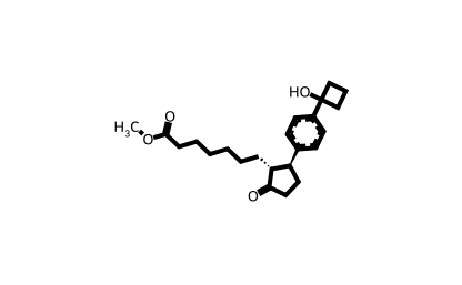 COC(=O)CCCCCC[C@H]1C(=O)CC[C@@H]1c1ccc(C2(O)CCC2)cc1